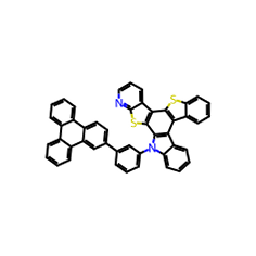 c1cc(-c2ccc3c4ccccc4c4ccccc4c3c2)cc(-n2c3ccccc3c3c4c5ccccc5sc4c4c5cccnc5sc4c32)c1